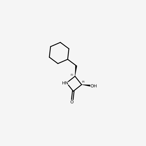 O=C1N[C@@H](CC2CCCCC2)[C@H]1O